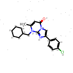 Cc1cc(=O)n2cc(-c3ccc(Cl)cc3)nc2n1CC1CCCCC1